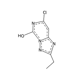 CCc1nc2cc(Cl)nc(O)n2n1